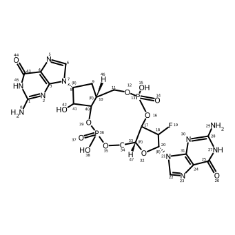 Nc1nc2c(ncn2[C@@H]2C[C@@H]3COP(=O)(O)OC4C(F)[C@H](n5cnc6c(=O)[nH]c(N)nc65)O[C@@H]4COP(=O)(O)OC3C2O)c(=O)[nH]1